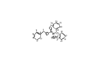 N[C@H](C(=O)OCc1ccccc1)C(c1ccccc1)c1ccccc1